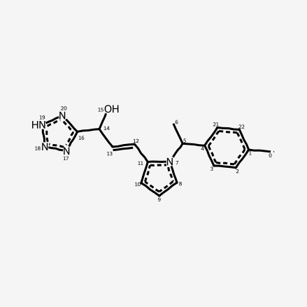 [CH2]c1ccc(C(C)n2cccc2C=CC(O)c2nn[nH]n2)cc1